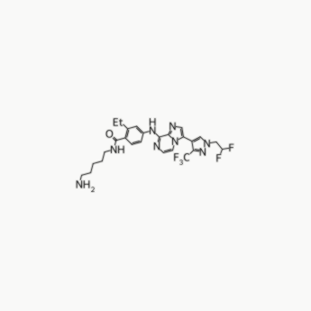 CCc1cc(Nc2nccn3c(-c4cn(CC(F)F)nc4C(F)(F)F)cnc23)ccc1C(=O)NCCCCCN